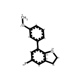 COc1cccc(-c2cc(F)cc3c2O[CH]C3)c1